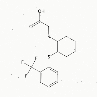 O=C(O)CSC1CCCCC1Sc1ccccc1C(F)(F)F